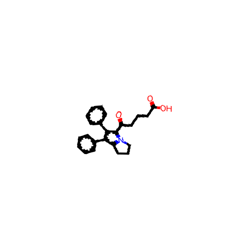 O=C(O)CCCC(=O)c1c(-c2ccccc2)c(-c2ccccc2)c2n1CCC2